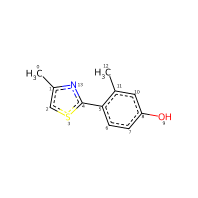 Cc1csc(-c2ccc(O)cc2C)n1